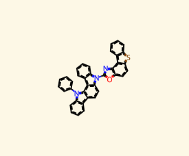 c1ccc(-n2c3ccccc3c3ccc4c(c5ccccc5n4-c4nc5c(ccc6sc7ccccc7c65)o4)c32)cc1